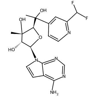 CC(O)(c1ccnc(C(F)F)c1)[C@H]1O[C@@H](n2ccc3c(N)ncnc32)[C@H](O)[C@]1(C)O